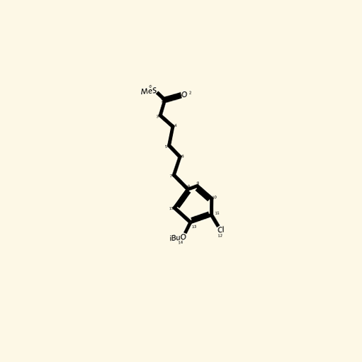 CSC(=O)CCCCCc1ccc(Cl)c(OCC(C)C)c1